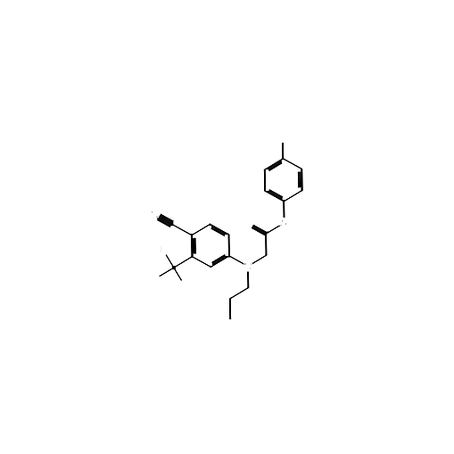 CCCN(CC(=O)Nc1ccc(F)cc1)c1ccc(C#N)c(C(F)(F)F)c1